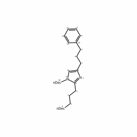 CCCCCCCCCCCCCc1nc(CCCc2ccccc2)cn1CCCCCCCCCC